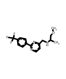 COCC(C)NCc1ccnc(-c2ccc(C(F)(F)F)cc2)n1